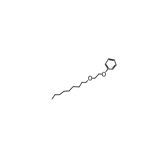 CCCCCCCCCOCCOc1ccccc1